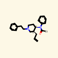 C=CC[C@H]1CN(CCc2ccccc2)CC[C@H]1N(C(=O)CC)c1ccccc1